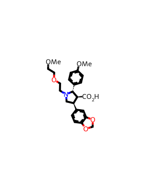 COCCOCCN1C[C@H](c2ccc3c(c2)OCO3)[C@H](C(=O)O)[C@H]1c1ccc(OC)cc1